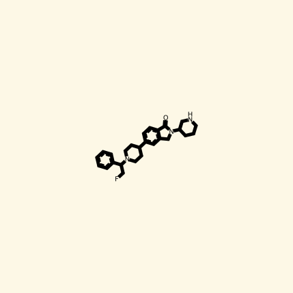 O=C1c2ccc(C3CCN(C(CF)c4ccccc4)CC3)cc2CN1C1CCCNC1